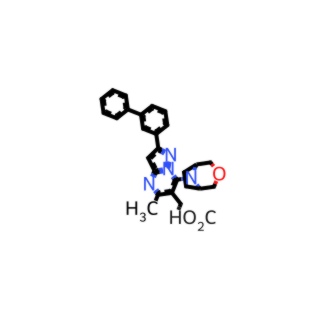 Cc1nc2cc(-c3cccc(-c4ccccc4)c3)nn2c(N2C3CCC2COC3)c1CC(=O)O